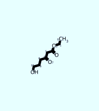 CCOC(=O)CC(=O)CCCO